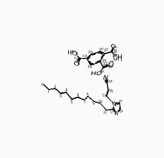 CCCCCCCCCCCCc1nccn1CCC#N.O=C(O)c1ccc(C(=O)O)c(C(=O)O)c1